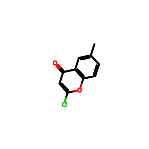 Cc1ccc2oc(Cl)cc(=O)c2c1